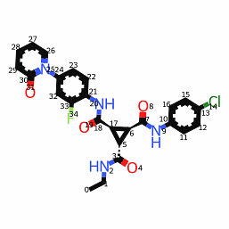 CCNC(=O)[C@H]1[C@H](C(=O)Nc2ccc(Cl)cc2)[C@@H]1C(=O)Nc1ccc(-n2ccccc2=O)cc1F